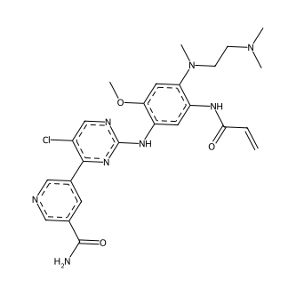 C=CC(=O)Nc1cc(Nc2ncc(Cl)c(-c3cncc(C(N)=O)c3)n2)c(OC)cc1N(C)CCN(C)C